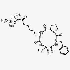 C[C@@H](O[Si](C)(C)C(C)(C)C)C(=O)CCCCC[C@@H]1NC(=O)C2CCCN2C(=O)[C@H](Cc2ccccc2)NC(=O)C(C)(C)NC1=O